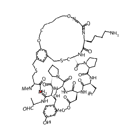 CN[C@@H](CSCc1cc2cc(c1)OCCCCCCO/N=C/C(=O)N[C@@H](CCCCN)C(=O)N[C@H](C(=O)N1CCC[C@H]1C(=O)N[C@@H](CC(C)C)C(=O)N[C@@H](CC(=O)OOC)C(=O)N[C@H](C(=O)N1CCC[C@H]1C(=O)N[C@@H](Cc1ccc(O)cc1)C(=O)N[C@@H](C)C=O)[C@@H](C)O)CSC2)C(N)=O